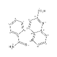 NC(=O)c1ccccc1.O=C(O)c1ccc2ncccc2n1